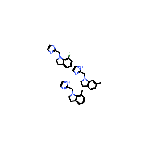 Cc1ccc2c(c1)N(Cc1ncc[nH]1)CC2.Cc1cccc2c1N(Cc1ncc[nH]1)CC2.Clc1cccc2c1N(Cc1ncc[nH]1)CC2